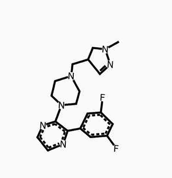 CN1CC(CN2CCN(c3nccnc3-c3cc(F)cc(F)c3)CC2)C=N1